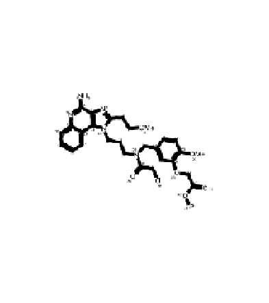 COCCc1nc2c(N)nc3ccccc3c2n1CCCN(Cc1ccc(OC)c(OCC(=O)OC(C)C)c1)C(=O)CCl